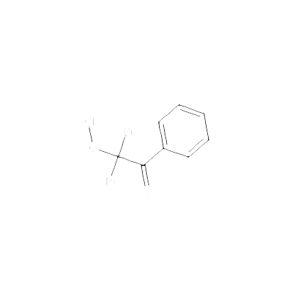 COC(Br)(Br)C(=O)c1ccccc1